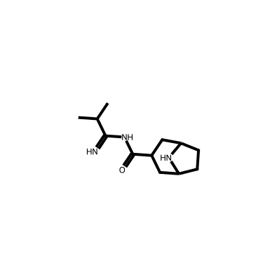 CC(C)C(=N)NC(=O)C1CC2CCC(C1)N2